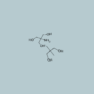 CC(C)(CO)CO.NC(CO)(CO)CO